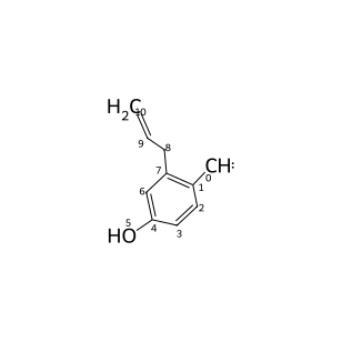 [CH]c1ccc(O)cc1CC=C